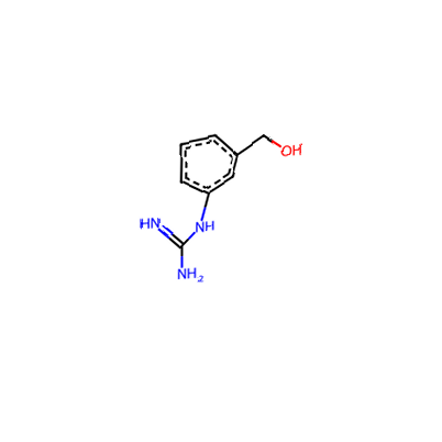 N=C(N)Nc1cccc(CO)c1